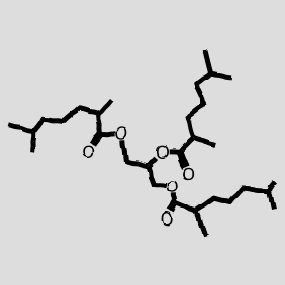 CC(C)CCCC(C)C(=O)OCC(COC(=O)C(C)CCCC(C)C)OC(=O)C(C)CCCC(C)C